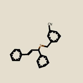 N#Cc1cccc(CSC(/C=C/c2ccccc2)c2ccccc2)c1